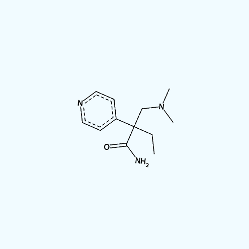 CCC(CN(C)C)(C(N)=O)c1ccncc1